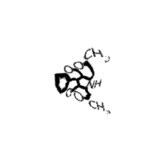 CC1CC2=C(C(=O)O1)C(c1ccccc1)C1=C(CC(C)OC1=O)N2